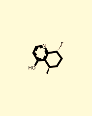 C[C@@H]1CC[C@@H](F)c2nccc(O)c21